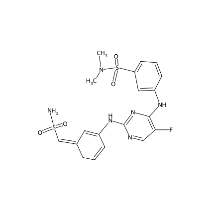 CN(C)S(=O)(=O)c1cccc(Nc2nc(NC3=CC(=CS(N)(=O)=O)CC=C3)ncc2F)c1